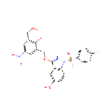 COc1ccc2c(c1)c(OCc1cc([N+](=O)[O-])cc3c1OCOC3)nn2S(=O)(=O)c1ccc(C)cc1